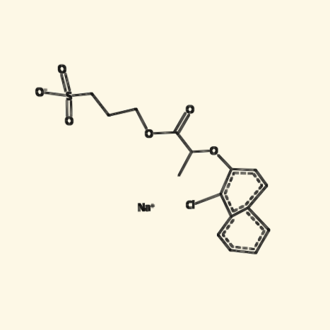 CC(Oc1ccc2ccccc2c1Cl)C(=O)OCCCS(=O)(=O)[O-].[Na+]